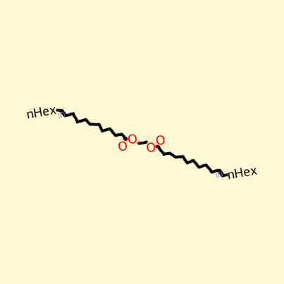 CCCCCC/C=C/CCCCCCCCCC(=O)OCCOC(=O)CCCCCCCCC/C=C/CCCCCC